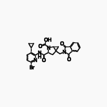 O=C(Nc1nc(Br)ccc1C1CC1)C1CC2(CN3C(=O)c4ccccc4C3=O)CC2N1C(=O)O